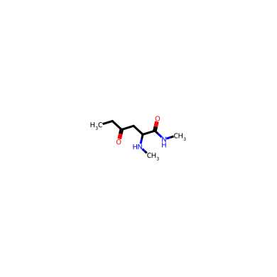 CCC(=O)CC(NC)C(=O)NC